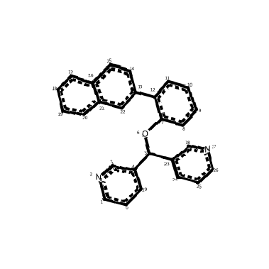 c1cncc(C(Oc2ccccc2-c2ccc3ccccc3c2)c2cccnc2)c1